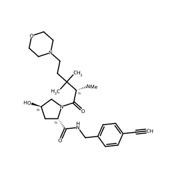 C#Cc1ccc(CNC(=O)[C@@H]2C[C@@H](O)CN2C(=O)[C@@H](NC)C(C)(C)CCN2CCOCC2)cc1